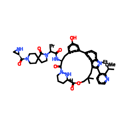 CCn1c(-c2cccnc2[C@H](C)OC)c2c3cc(ccc31)-c1cc(O)cc(c1)C[C@H](NC(=O)C(C(C)C)N1CCC3(CCN(C(=O)[C@@H]4CN4)CC3)C1=O)C(=O)N1CCC[C@H](N1)C(=O)OCC(C)(C)C2